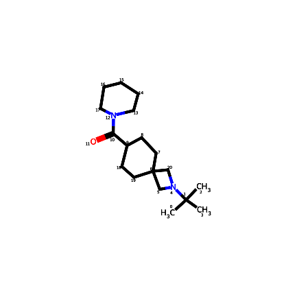 CC(C)(C)N1CC2(CCC(C(=O)N3CCCCC3)CC2)C1